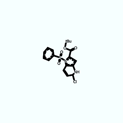 CC(C)(C)OC(=O)c1cc2c(n1S(=O)(=O)c1ccccc1)C=CC(Cl)N2